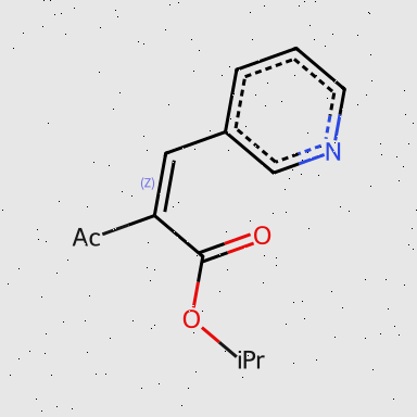 CC(=O)/C(=C/c1cccnc1)C(=O)OC(C)C